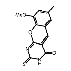 COc1cc(C)cc2cc3c(=O)[nH]c(=S)nc-3oc12